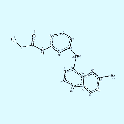 CCC(=O)Nc1cccc(Nc2ncnc3ccc(Br)cc23)c1